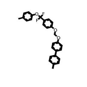 Cc1ccc(OC(F)(F)c2ccc(OCOc3ccc(-c4ccc(C)cc4)cc3)cc2)cc1